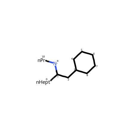 CCCCCCCC(CC1CCCCC1)[N]CCC